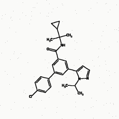 CC(C)n1nccc1-c1cc(C(=O)NC(C)(C)C2CC2)cc(-c2ccc(Cl)cc2)c1